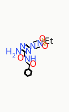 CCS(=O)(=O)N1CCN(c2cnc(N)c(C(=O)NCC(=O)c3ccccc3)n2)CC1